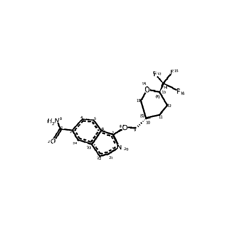 NC(=O)c1ccc2c(OC[C@H]3CC[C@H](C(F)(F)F)OC3)nccc2c1